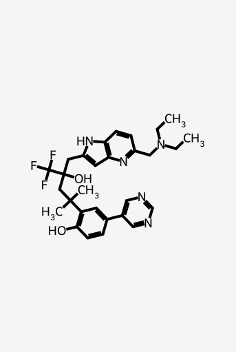 CCN(CC)Cc1ccc2[nH]c(CC(O)(CC(C)(C)c3cc(-c4cncnc4)ccc3O)C(F)(F)F)cc2n1